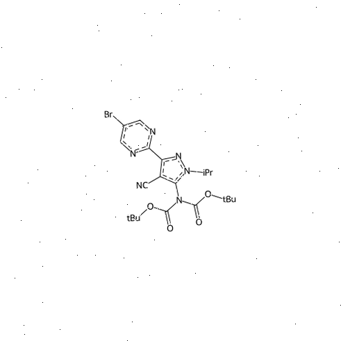 CC(C)n1nc(-c2ncc(Br)cn2)c(C#N)c1N(C(=O)OC(C)(C)C)C(=O)OC(C)(C)C